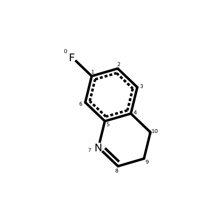 Fc1ccc2c(c1)N=CCC2